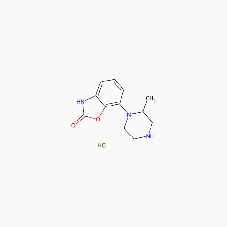 CC1CNCCN1c1cccc2[nH]c(=O)oc12.Cl